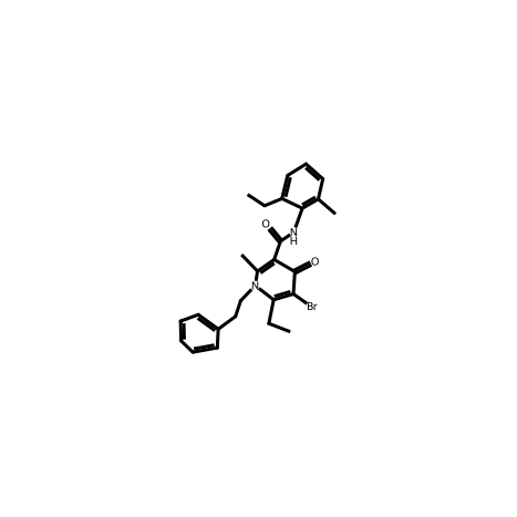 CCc1cccc(C)c1NC(=O)c1c(C)n(CCc2ccccc2)c(CC)c(Br)c1=O